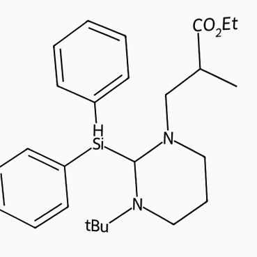 CCOC(=O)C(C)CN1CCCN(C(C)(C)C)C1[SiH](c1ccccc1)c1ccccc1